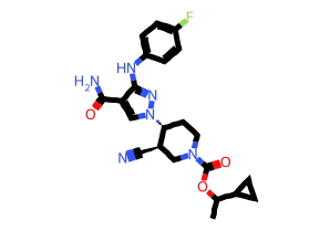 CC(OC(=O)N1CC[C@@H](n2cc(C(N)=O)c(Nc3ccc(F)cc3)n2)[C@H](C#N)C1)C1CC1